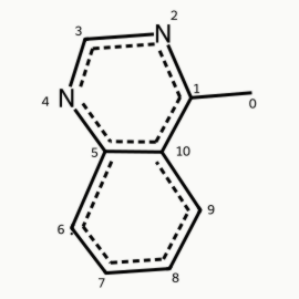 Cc1ncnc2[c]cccc12